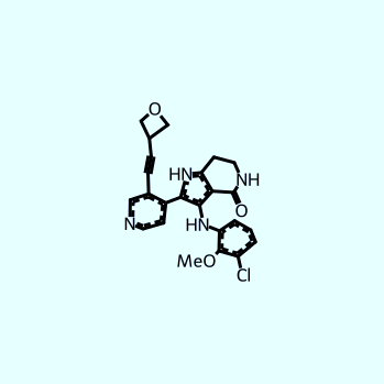 COc1c(Cl)cccc1Nc1c(-c2ccncc2C#CC2COC2)[nH]c2c1C(=O)NCC2